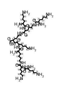 CC(C)(C)C(=O)C(CCCCNC(=O)C(CCCCNC(=O)C(N)CCCCN)NC(=O)C(N)CCCCN)CC(=O)C(CCCCN)NC(=O)C(N)CCCCNC(=O)C(CCCCN)NC(=O)C(N)CCCCN